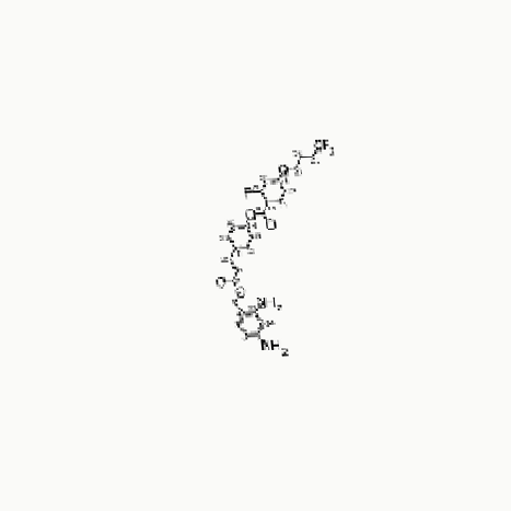 Nc1ccc(COC(=O)C=Cc2ccc(OC(=O)c3ccc(OCCCC(F)(F)F)cc3F)cc2)c(N)c1